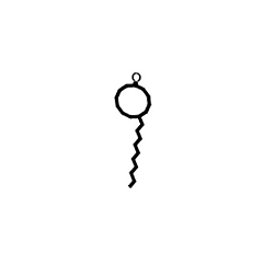 CCCCCCCCCCC1CCCCCCC(=O)CCCC1